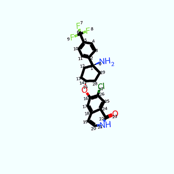 N[C@]1(c2ccc(C(F)(F)F)cc2)CC[C@@H](Oc2cc3cc[nH]c(=O)c3cc2Cl)CC1